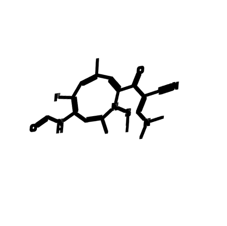 Cc1cc(F)c(NC=O)cc(C)n(SI)c(C(=O)/C(C#N)=C/N(C)C)c1